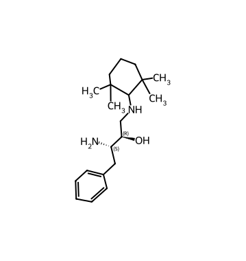 CC1(C)CCCC(C)(C)C1NC[C@@H](O)[C@@H](N)Cc1ccccc1